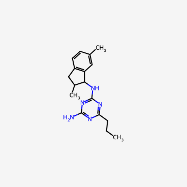 CCCc1nc(N)nc(NC2c3cc(C)ccc3CC2C)n1